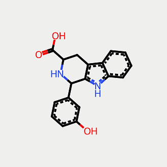 O=C(O)C1Cc2c([nH]c3ccccc23)C(c2cccc(O)c2)N1